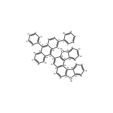 c1ccc(-c2ccc3c(-c4ccccc4)c4ccccc4c(-c4cc5ccc6oc7ccccc7c6c5c5c4oc4ccccc45)c3c2)cc1